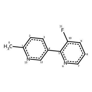 Cc1ccc(-c2ncccc2F)cn1